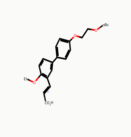 CCCCOCCOc1ccc(-c2ccc(OCC)c(/C=C/C(=O)O)c2)cc1